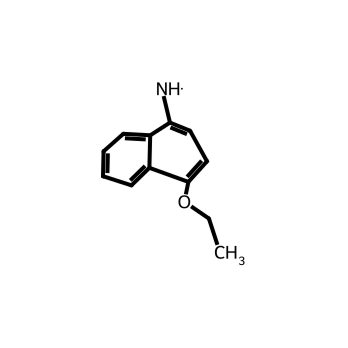 CCOc1ccc([NH])c2ccccc12